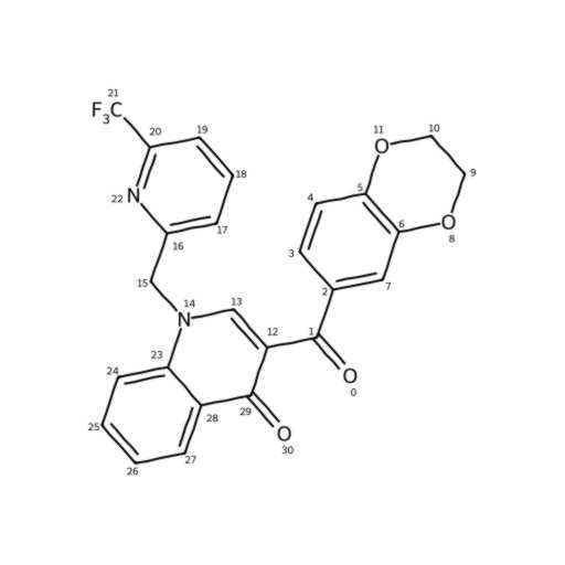 O=C(c1ccc2c(c1)OCCO2)c1cn(Cc2cccc(C(F)(F)F)n2)c2ccccc2c1=O